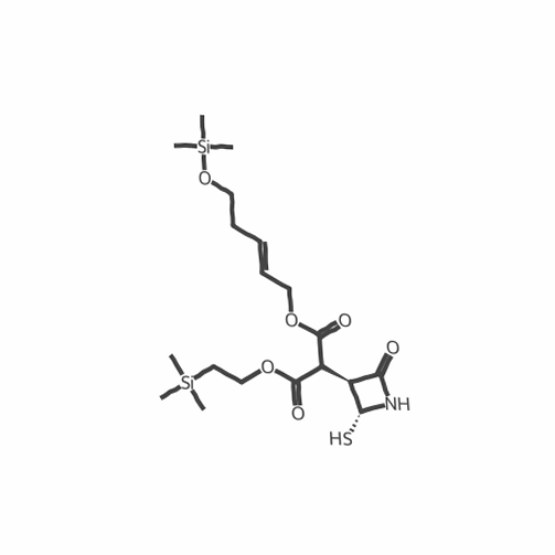 C[Si](C)(C)CCOC(=O)C(C(=O)OCC=CCCO[Si](C)(C)C)[C@H]1C(=O)N[C@@H]1S